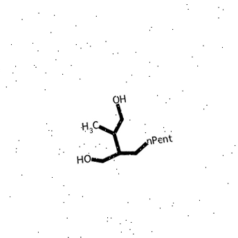 CCCCCCC(CO)C(C)CO